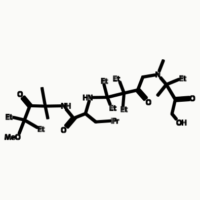 CCC(CC)(OC)C(=O)C(C)(C)NC(=O)C(CC(C)C)NC(CC)(CC)C(CC)(CC)C(=O)CN(C)C(C)(CC)C(=O)CO